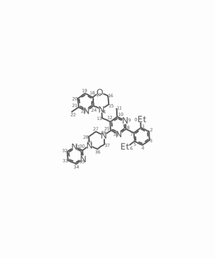 CCc1cccc(CC)c1-c1nc(C)c(CN2CCOc3ccc(C)nc32)c(N2CCN(c3ncccn3)CC2)n1